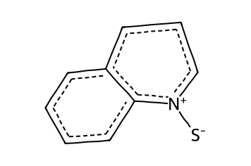 [S-][n+]1cccc2ccccc21